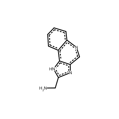 NCc1nc2cnc3ccccc3c2[nH]1